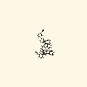 N#Cc1cccc(-c2ccc3c(c2)c2ccccc2n3-c2ccc(C(F)(F)F)cc2-c2c(C#N)cccc2-n2c3ccccc3c3cc(-c4cccc(C#N)c4)ccc32)c1